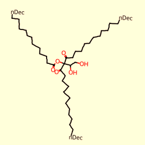 CCCCCCCCCCCCCCCCCCCCCC(=O)OC(C(=O)CCCCCCCCCCCCCCCCCCCCC)(C(=O)CCCCCCCCCCCCCCCCCCCCC)C(O)CO